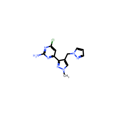 Cn1cc(Cn2cccn2)c(-c2cc(Cl)nc(N)n2)n1